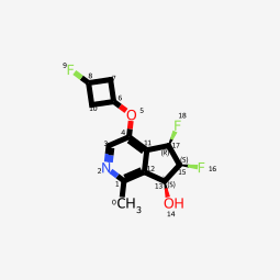 Cc1ncc(OC2CC(F)C2)c2c1[C@H](O)[C@H](F)[C@@H]2F